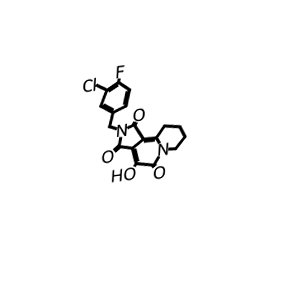 O=C1c2c(c3n(c(=O)c2O)CCCC3)C(=O)N1Cc1ccc(F)c(Cl)c1